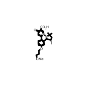 COCCCOc1ccc2c(c1)C1[C@H](I)CC(C)(C)N1n1cc(C(=O)O)c(=O)cc1-2